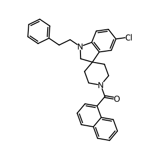 O=C(c1cccc2ccccc12)N1CCC2(CC1)CN(CCc1ccccc1)c1ccc(Cl)cc12